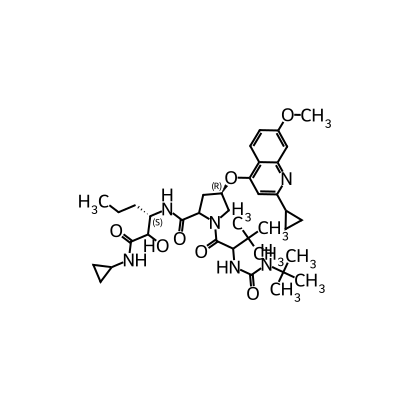 CCC[C@H](NC(=O)C1C[C@@H](Oc2cc(C3CC3)nc3cc(OC)ccc23)CN1C(=O)C(NC(=O)NC(C)(C)C)C(C)(C)C)C(O)C(=O)NC1CC1